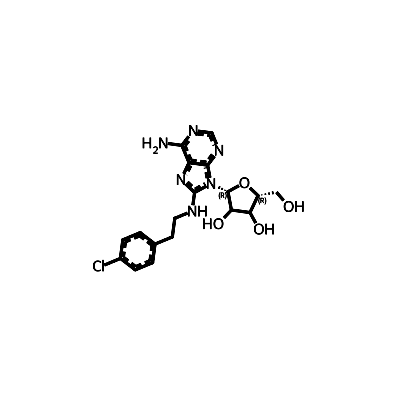 Nc1ncnc2c1nc(NCCc1ccc(Cl)cc1)n2[C@@H]1O[C@H](CO)C(O)C1O